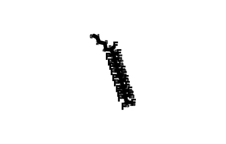 CCCCCC(F)C(F)(F)C(F)(F)C(F)(F)C(F)(F)C(F)(F)C(F)(F)C(F)(F)C(F)(F)C(F)(F)[C](F)F